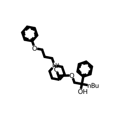 CCCCC(O)(COC1C[N+]2(CCCOc3ccccc3)CCC1CC2)c1ccccc1